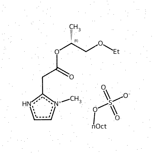 CCCCCCCCOS(=O)(=O)[O-].CCOC[C@@H](C)OC(=O)Cc1[nH]cc[n+]1C